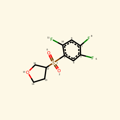 O=S(=O)(c1cc(F)c(F)cc1F)C1CCOC1